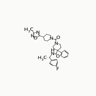 Cc1noc(C2CCN(C(=O)N3CCC(C(=O)N[C@@H](C)c4ccc(F)cc4)(c4ccccc4)CC3)CC2)n1